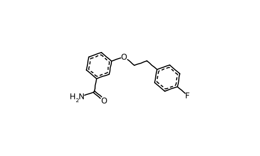 NC(=O)c1cccc(OCCc2ccc(F)cc2)c1